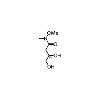 CON(C)C(=O)C[C@@H](O)CO